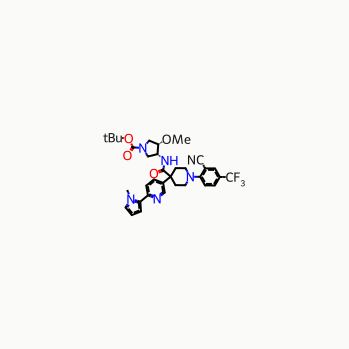 CO[C@H]1CN(C(=O)OC(C)(C)C)C[C@H]1NC(=O)C1(c2ccc(-c3cccn3C)nc2)CCN(c2ccc(C(F)(F)F)cc2C#N)CC1